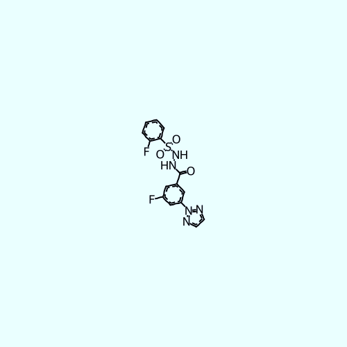 O=C(NNS(=O)(=O)c1ccccc1F)c1cc(F)cc(-n2nccn2)c1